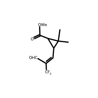 COC(=O)C1C(/C=C(\C=O)C(F)(F)F)C1(C)C